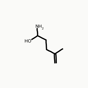 C=C(C)CCC(N)O